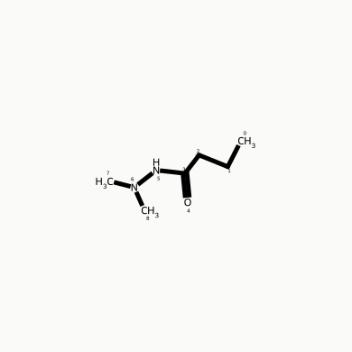 CC[CH]C(=O)NN(C)C